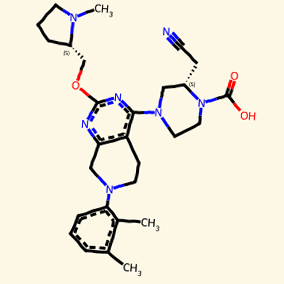 Cc1cccc(N2CCc3c(nc(OC[C@@H]4CCCN4C)nc3N3CCN(C(=O)O)[C@@H](CC#N)C3)C2)c1C